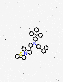 c1ccc([Si](c2ccccc2)(c2ccccc2)c2ccc(N(c3ccc(-c4cccc5ccccc45)cc3)c3cccc(-c4cccc5c4c4ccccc4n5-c4cccc5c4sc4ccccc45)c3)cc2)cc1